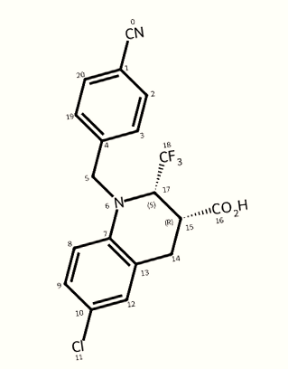 N#Cc1ccc(CN2c3ccc(Cl)cc3C[C@@H](C(=O)O)[C@H]2C(F)(F)F)cc1